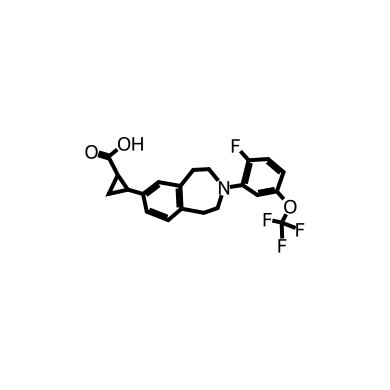 O=C(O)C1CC1c1ccc2c(c1)CCN(c1cc(OC(F)(F)F)ccc1F)CC2